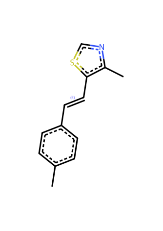 Cc1ccc(/C=C/c2scnc2C)cc1